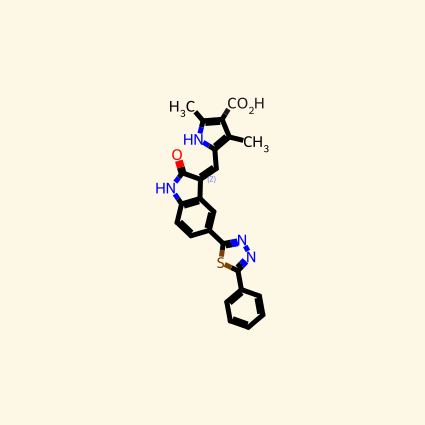 Cc1[nH]c(/C=C2\C(=O)Nc3ccc(-c4nnc(-c5ccccc5)s4)cc32)c(C)c1C(=O)O